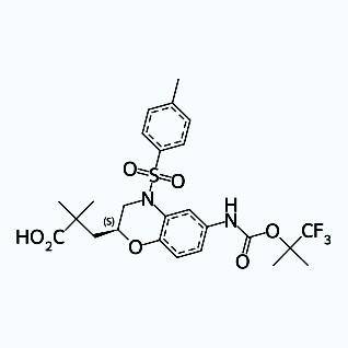 Cc1ccc(S(=O)(=O)N2C[C@H](CC(C)(C)C(=O)O)Oc3ccc(NC(=O)OC(C)(C)C(F)(F)F)cc32)cc1